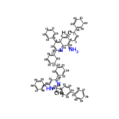 CC(/C=C\c1ccc2c(-c3ccccc3)cc(C3=CC=CC(c4cccc(C5=NC(C)(c6ccc(-c7ccccc7)cc6)NC(c6ccccc6)=C5)c4)C3)nc2c1N)C1=CCCC=C1